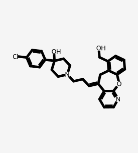 OCc1cccc2c1CC(=CCCN1CCC(O)(c3ccc(Cl)cc3)CC1)c1cccnc1O2